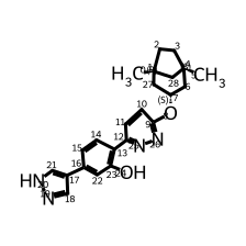 C[C@]12CC[C@](C)(C[C@H](Oc3ccc(-c4ccc(-c5cn[nH]c5)cc4O)nn3)C1)C2